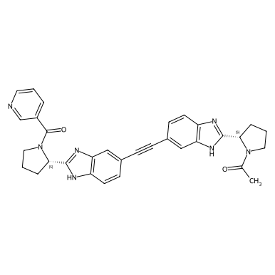 CC(=O)N1CCC[C@H]1c1nc2ccc(C#Cc3ccc4[nH]c([C@@H]5CCCN5C(=O)c5cccnc5)nc4c3)cc2[nH]1